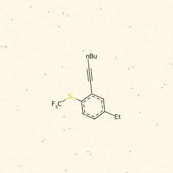 CCCCC#Cc1cc(CC)ccc1SC(F)(F)F